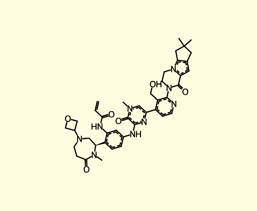 C=CC(=O)Nc1cc(Nc2nc(-c3ccnc(N4CCn5c(cc6c5CC(C)(C)C6)C4=O)c3CO)cn(C)c2=O)ccc1[C@@H]1CN(C2COC2)CCC(=O)N1C